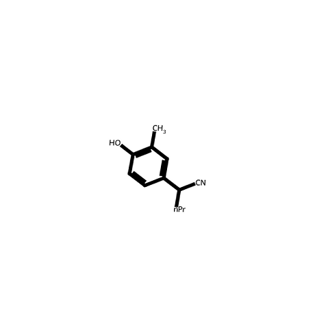 CCCC(C#N)c1ccc(O)c(C)c1